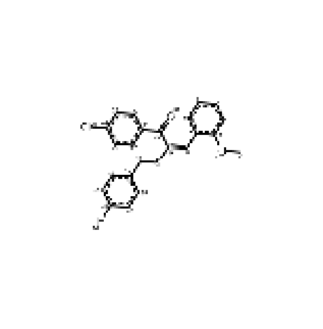 COc1ccccc1/C=C(/SCc1ccc(F)cc1)C(=O)c1ccc(Cl)cc1